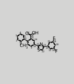 Cc1ccccc1-c1ccc(-c2nc(-c3cc(F)cc(F)c3)cs2)cc1C(=O)O